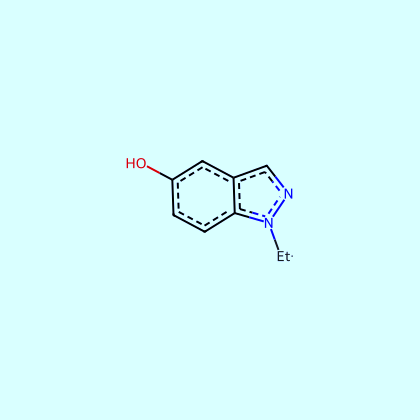 C[CH]n1ncc2cc(O)ccc21